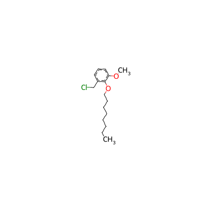 CCCCCCCCOc1c(CCl)cccc1OC